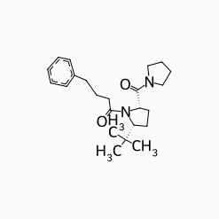 CC(C)(C)[C@H]1CC[C@@H](C(=O)N2CCCC2)N1C(=O)CCCc1ccccc1